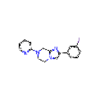 Ic1cccc(-c2cn3c(n2)CN(c2ccccn2)CC3)c1